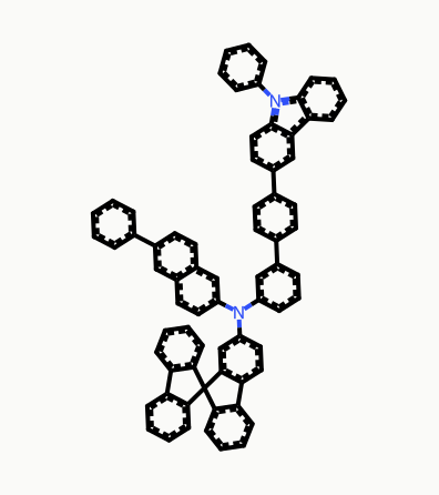 c1ccc(-c2ccc3cc(N(c4cccc(-c5ccc(-c6ccc7c(c6)c6ccccc6n7-c6ccccc6)cc5)c4)c4ccc5c(c4)C4(c6ccccc6-c6ccccc64)c4ccccc4-5)ccc3c2)cc1